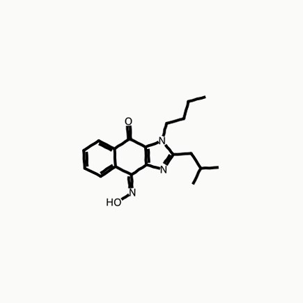 CCCCn1c(CC(C)C)nc2c1C(=O)c1ccccc1C2=NO